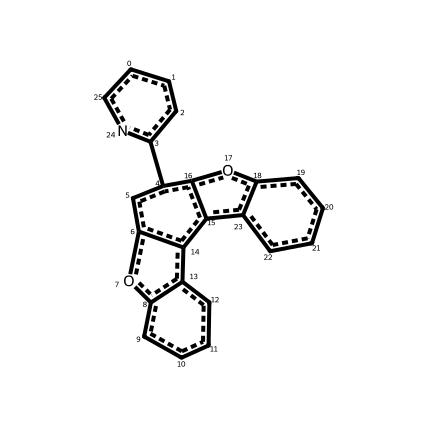 c1ccc(-c2cc3oc4ccccc4c3c3c2oc2ccccc23)nc1